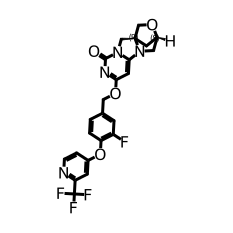 O=c1nc(OCc2ccc(Oc3ccnc(C(F)(F)F)c3)c(F)c2)cc2n1C[C@]13CO[C@H](CN21)C3